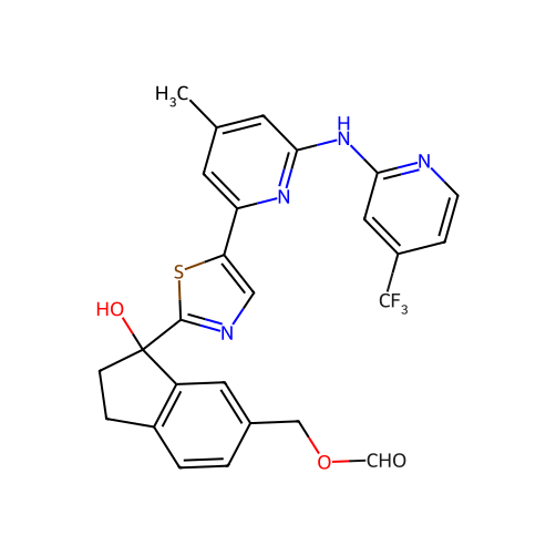 Cc1cc(Nc2cc(C(F)(F)F)ccn2)nc(-c2cnc(C3(O)CCc4ccc(COC=O)cc43)s2)c1